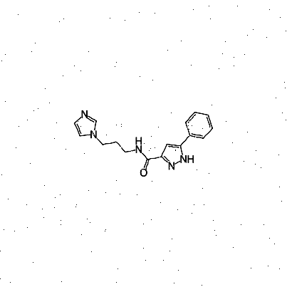 O=C(NCCCn1ccnc1)c1cc(-c2ccccc2)[nH]n1